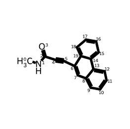 CNC(=O)C#Cc1cc2ccccc2c2ccccc12